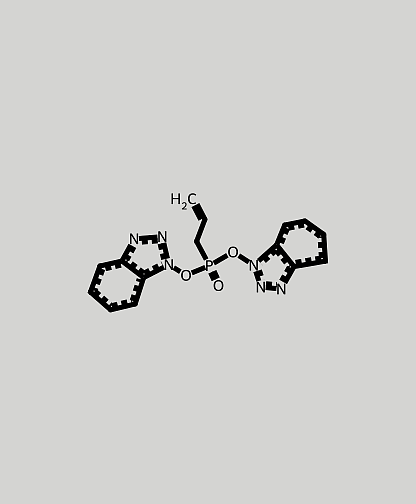 C=CCP(=O)(On1nnc2ccccc21)On1nnc2ccccc21